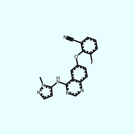 Cn1nccc1Nc1ncnc2ccc(Oc3c(F)cccc3C#N)cc12